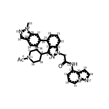 CC(=O)N1CCC(c2nn(CC(=O)Nc3cccn4nccc34)c3cccc(-c4cc5c(cnn5C)cc4F)c23)CC1